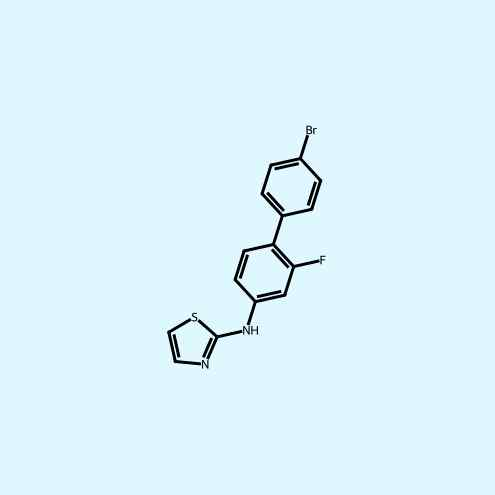 Fc1cc(Nc2nccs2)ccc1-c1ccc(Br)cc1